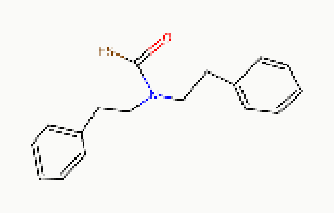 O=C(S)N(CCc1ccccc1)CCc1ccccc1